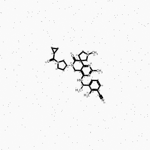 Cc1nc(N[C@H](C)c2cccc(C#N)c2C)c2c(n1)C1(CCN(C)C1)C(=O)N([C@@H]1CCN(C(=O)C3CC3)C1)C2